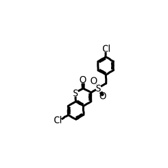 O=c1sc2cc(Cl)ccc2cc1S(=O)(=O)Cc1ccc(Cl)cc1